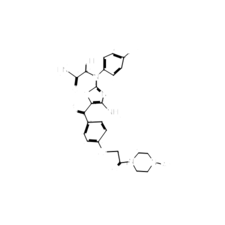 CC(=O)N1CCN(C(=O)COc2ccc(C(=O)c3sc(N(c4ccc(F)cc4)C(C)C(N)=O)nc3N)cc2)CC1